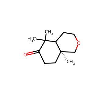 CC1(C)C(=O)CC[C@]2(C)COCCC12